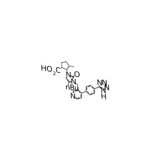 CCCCc1cn(C2C(C)CCC2C(=O)O)c(=O)n1Cc1cnccc1-c1ccc(-c2nnn[nH]2)cc1